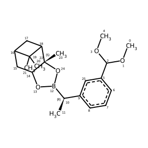 COC(OC)c1cccc([C@@H](C)B2OC3CC4CC(C4(C)C)[C@]3(C)O2)c1